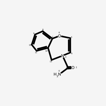 NC(=O)N1C=COc2ccccc2C1